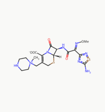 CON=C(C(=O)N[C@@H]1C(=O)N2C(C(=O)[O-])=C(C[N+]3(C)CCNCC3)CS[C@@H]12)c1nsc(N)n1